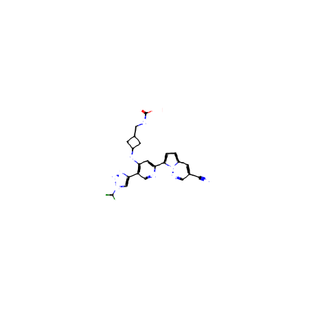 N#Cc1cnn2c(-c3cc(NC4CC(CNC(=O)O)C4)c(-c4cn(C(F)F)nn4)cn3)ccc2c1